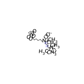 C[N+]1=C(/C=C/C=C2/N(CCCCCC(=O)ON3C(=O)CCC3=O)c3ccccc3C2(C)C)C(C)(C)c2ccccc21.[Cl-]